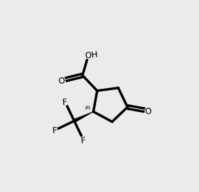 O=C1CC(C(=O)O)[C@H](C(F)(F)F)C1